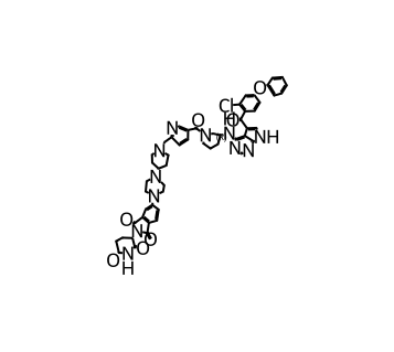 O=C1CCC(N2C(=O)c3ccc(N4CCN(C5CCN(Cc6ccc(C(=O)N7CCC[C@@H](Nc8ncnc9[nH]cc(C(=O)c%10ccc(Oc%11ccccc%11)cc%10Cl)c89)C7)cn6)CC5)CC4)cc3C2=O)C(=O)N1